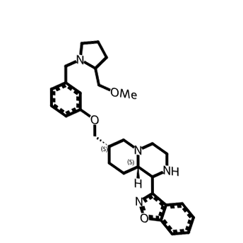 COCC1CCCN1Cc1cccc(OC[C@H]2CC[C@H]3C(c4noc5ccccc45)NCCN3C2)c1